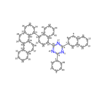 c1ccc(-c2nc(-c3ccc4ccccc4c3)nc(-c3ccc(-c4cccc5ccc6c7ccccc7ccc6c45)c4ccccc34)n2)cc1